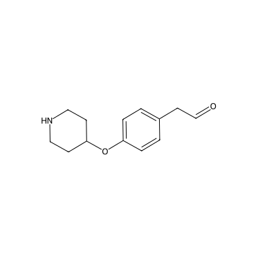 O=CCc1ccc(OC2CCNCC2)cc1